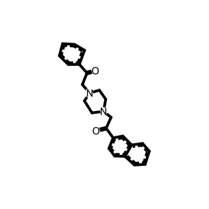 O=C(CN1CCN(CC(=O)c2ccc3ccccc3c2)CC1)c1ccccc1